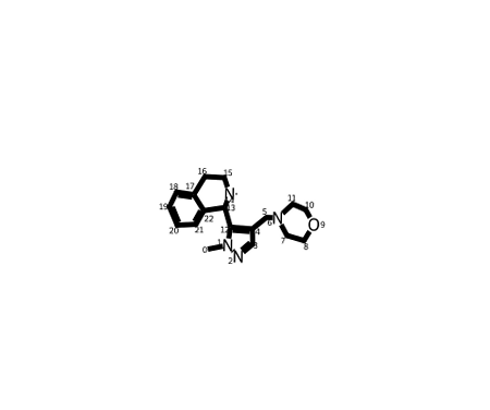 Cn1ncc(CN2CCOCC2)c1C1[N]CCc2ccccc21